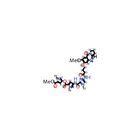 COC(=O)c1cc(OC(=O)c2cc(NC(=O)c3nc(NC(=O)CCCOc4cc5c(cc4OC)C(=O)N4CCC[C@H]4C=N5)cn3C)cn2C)cn1C